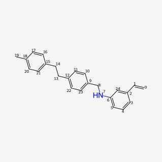 C=Cc1cccc(NCc2ccc(CCc3ccc(C)cc3)cc2)c1